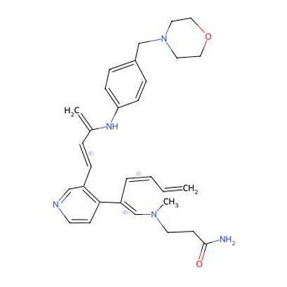 C=C/C=C\C(=C/N(C)CCC(N)=O)c1ccncc1/C=C/C(=C)Nc1ccc(CN2CCOCC2)cc1